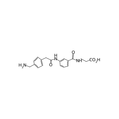 NCc1ccc(CC(=O)Nc2cccc(C(=O)NCCC(=O)O)c2)cc1